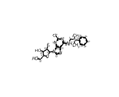 C[Si](C)(CNc1nc(Cl)nc2c1ncn2C1OC(CO)C(O)C1F)c1ccccc1